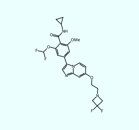 COc1cc(-c2cnc3cc(OCCN4CC(F)(F)C4)ccn23)cc(OC(F)F)c1C(=O)NC1CC1